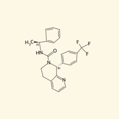 C[C@H](NC(=O)N1CCc2cccnc2[C@H]1c1ccc(C(F)(F)F)cc1)c1ccccc1